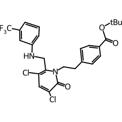 CC(C)(C)OC(=O)c1ccc(CCn2c(CNc3cccc(C(F)(F)F)c3)c(Cl)cc(Cl)c2=O)cc1